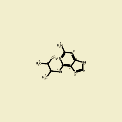 CC(C)C(C)Nc1nc(N)nc2[nH]cnc12